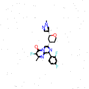 Cc1nc2c(-c3ccc(F)cc3F)nc([C@H]3CCO[C@@H](c4cnn(C)c4)C3)cn2c(=O)c1F